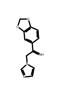 N=C(Cn1ccnc1)c1ccc2c(c1)OCO2